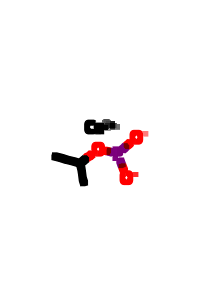 CC(C)OP([O-])[O-].[Cu+2]